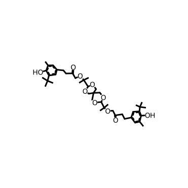 Cc1cc(CCC(=O)COC(C)(C)C2OCC3(CO2)COC(C(C)(C)OCC(=O)CCc2cc(C)c(O)c(C(C)(C)C)c2)OC3)cc(C(C)(C)C)c1O